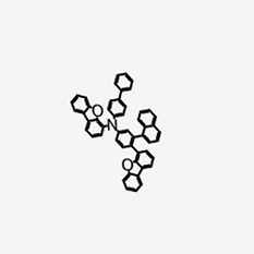 c1ccc(-c2ccc(N(c3ccc(-c4cccc5c4oc4ccccc45)c(-c4cccc5ccccc45)c3)c3cccc4c3oc3ccccc34)cc2)cc1